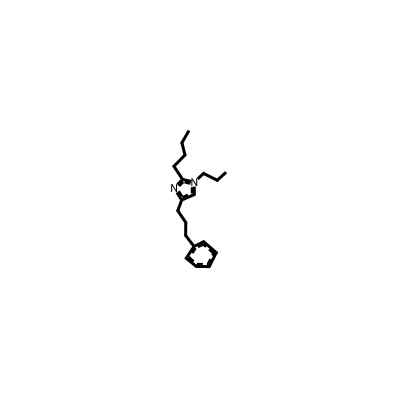 CCCCc1nc(CCCc2ccccc2)cn1CCC